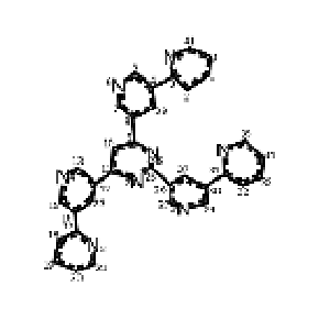 c1ccc(-c2cncc(-c3cc(-c4cncc(-c5ccccn5)c4)nc(-c4cncc(-c5ccccn5)c4)n3)c2)nc1